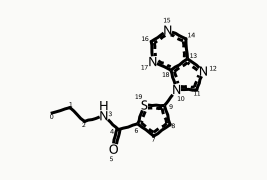 CCCNC(=O)c1ccc(-n2cnc3cncnc32)s1